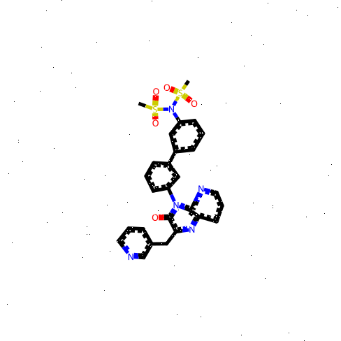 CS(=O)(=O)N(c1cccc(-c2cccc(-n3c(=O)c(Cc4cccnc4)nc4cccnc43)c2)c1)S(C)(=O)=O